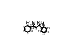 N=C(/C=C(\N)C1=CC=CCC1)c1ccccc1